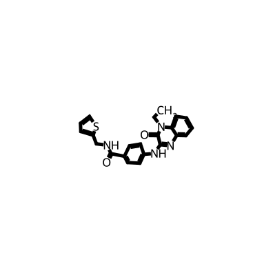 CCn1c(=O)c(Nc2ccc(C(=O)NCc3cccs3)cc2)nc2ccccc21